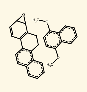 C1=CC2OC2C2=C1c1ccc3ccccc3c1CC2.COc1ccc(OC)c2ccccc12